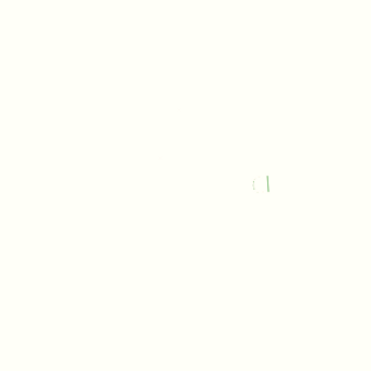 [C]C(C)C(C)Cl